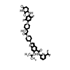 CC(C)Oc1cc2nn(C3CCN(C(=O)CC4(O)CCN(c5cc(F)c(NC6CCC(=O)NC6=O)cc5F)CC4)CC3)cc2cc1C(=O)Nc1cccc(C(F)F)n1